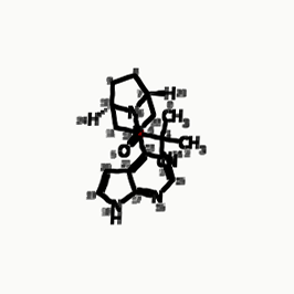 CC(C)(C#N)C(=O)N1[C@@H]2CC[C@@H]1CN(c1ncnc3[nH]ccc13)C2